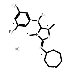 CC(=O)N(c1cc(C(F)(F)F)cc(C(F)(F)F)c1)C1C(C)SC(=NC2CCCCCC2)N1C.Cl